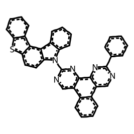 c1ccc(-c2ncc3c4ccccc4c4cnc(-n5c6ccccc6c6c7c(ccc65)sc5ccccc57)nc4c3n2)cc1